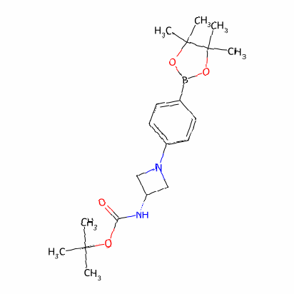 CC(C)(C)OC(=O)NC1CN(c2ccc(B3OC(C)(C)C(C)(C)O3)cc2)C1